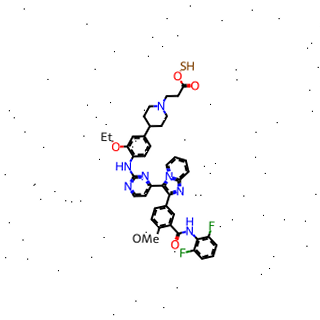 CCOc1cc(C2CCN(CCC(=O)OS)CC2)ccc1Nc1nccc(-c2c(-c3ccc(OC)c(C(=O)Nc4c(F)cccc4F)c3)nc3ccccn23)n1